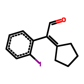 O=CC(=C1CCCC1)c1ccccc1I